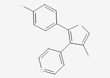 Fc1ccc(-c2scc(I)c2-c2ccncc2)cc1